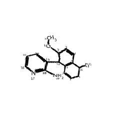 COC1C=CC2=C(C=CCC2Cl)C1c1cccnc1N